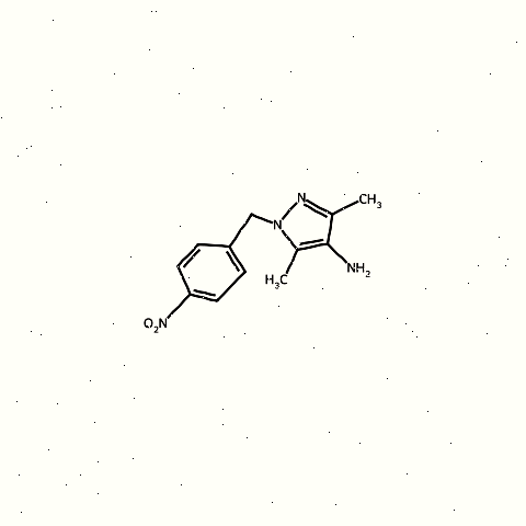 Cc1nn(Cc2ccc([N+](=O)[O-])cc2)c(C)c1N